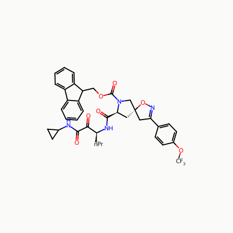 CCC[C@H](NC(=O)[C@@H]1C[C@]2(CC(c3ccc(OC(F)(F)F)cc3)=NO2)CN1C(=O)OCC1c2ccccc2-c2ccccc21)C(=O)C(=O)NC1CC1